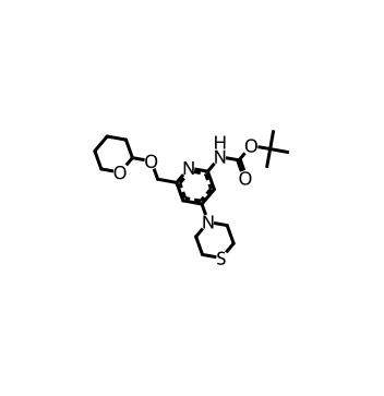 CC(C)(C)OC(=O)Nc1cc(N2CCSCC2)cc(COC2CCCCO2)n1